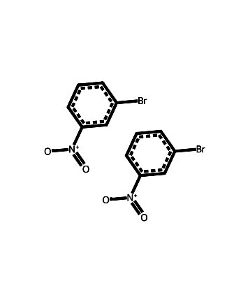 O=[N+]([O-])c1cccc(Br)c1.O=[N+]([O-])c1cccc(Br)c1